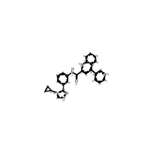 O=C(Nc1cccc(-c2nncn2C2CC2)c1)c1cc(-c2cccnc2)c2ccccc2n1